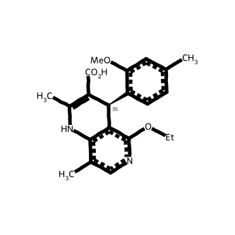 CCOc1ncc(C)c2c1[C@H](c1ccc(C)cc1OC)C(C(=O)O)=C(C)N2